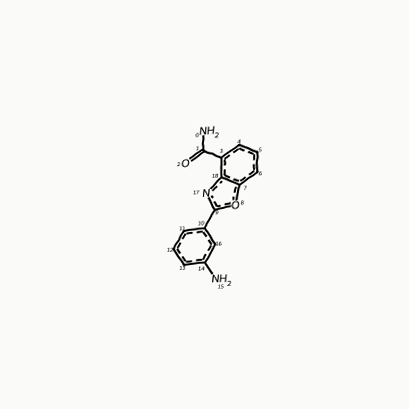 NC(=O)c1cccc2oc(-c3cccc(N)c3)nc12